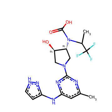 Cc1cc(Nc2cc[nH]n2)nc(N2C[C@@H](O)[C@H](N(C(=O)O)C(C)C(F)(F)F)C2)n1